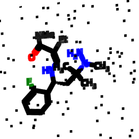 CC/C(=C/N[C@H](CC(C)(C)N(C)N)c1ccccc1F)C(=O)NC